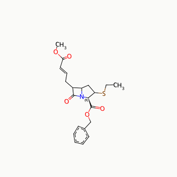 CCSC1CC2C(CC=CC(=O)OC)C(=O)N2[C@@H]1C(=O)OCc1ccccc1